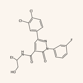 CCC(CO)NC(=O)c1cc(-c2ccc(Cl)c(Cl)c2)nn(-c2cccc(F)c2)c1=O